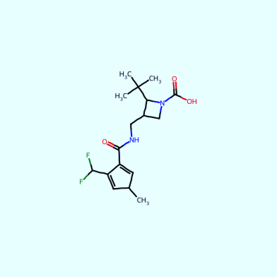 CC1C=C(C(=O)NCC2CN(C(=O)O)C2C(C)(C)C)C(C(F)F)=C1